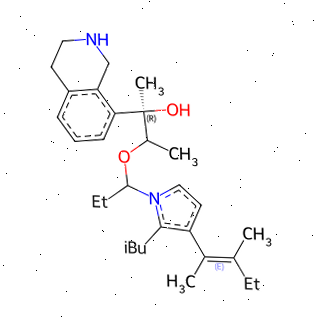 CC/C(C)=C(\C)c1ccn(C(CC)OC(C)[C@](C)(O)c2cccc3c2CNCC3)c1C(C)CC